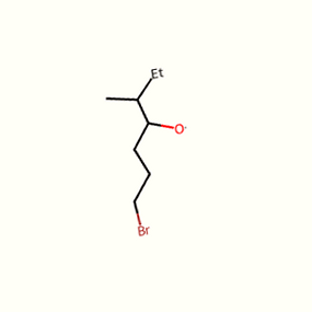 CCC(C)C([O])CCCBr